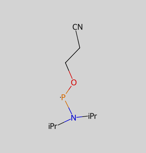 CC(C)N([P]OCCC#N)C(C)C